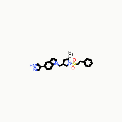 C[C@@H]1CC(Cn2ccc3cc(-c4cn[nH]c4)ccc32)CN1S(=O)(=O)CCc1ccccc1